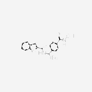 CC(C)(C)C(NC(=O)c1cc2ccccc2o1)c1ccc(C(=O)NO)cc1